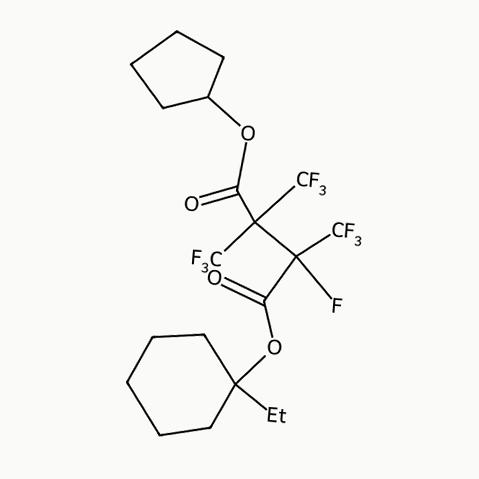 CCC1(OC(=O)C(F)(C(F)(F)F)C(C(=O)OC2CCCC2)(C(F)(F)F)C(F)(F)F)CCCCC1